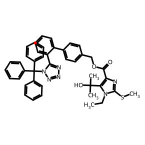 CCn1c(SC)nc(C(=O)OCc2ccc(-c3ccccc3-c3nnnn3C(c3ccccc3)(c3ccccc3)c3ccccc3)cc2)c1C(C)(C)O